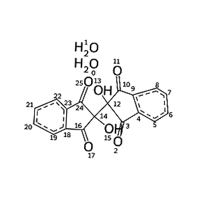 O.O.O=C1c2ccccc2C(=O)C1(O)C1(O)C(=O)c2ccccc2C1=O